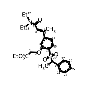 CCOC(=O)COc1cc(C(C)=CC(=O)N(CC)CC)ccc1S(=O)(=O)C(C)c1ccccc1